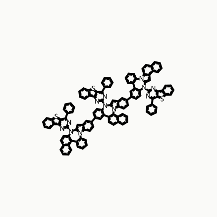 c1ccc(-c2nc(N3c4ccc5ccccc5c4-c4ccccc4-n4c3cc3cc(-c5ccc6c(c5)-c5ccc7ccccc7c5-n5c(cc7cc(-c8ccc9c(c8)-c8ccccc8-n8c(cc%10c%11ccccc%11ccc%108)N9c8nc(-c9ccccc9)c9sc%10ccccc%10c9n8)ccc75)N6c5nc(-c6ccccc6)c6sc7ccccc7c6n5)ccc34)nc3c2sc2ccccc23)cc1